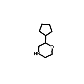 C1CCC(C2CNCCO2)C1